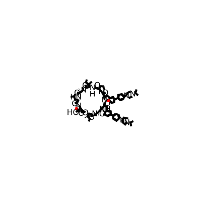 CCC(C)C1NC(=O)C2CCCN2C(=O)C(Cc2cccc(-c3ccc(N4CCN(C(C)C)CC4)cc3)c2)N(C)C(=O)C(Cc2cccc(-c3ccc(N4CCN(C(C)C)CC4)cc3)c2)NC(=O)[C@H](C)N(C)C(=O)C([C@H](C)CC)OC(=O)C(C(C)(C)O)N(C)C(=O)C(CC(C)C)NC(=O)[C@H](C)N(C)C1=O